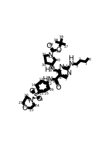 CCCCNc1ncc(C(=O)Nc2ccc(S(=O)(=O)N3CCOCC3)cc2)c(N[C@@H]2CCN(C(=O)OC(C)(C)C)C2)n1